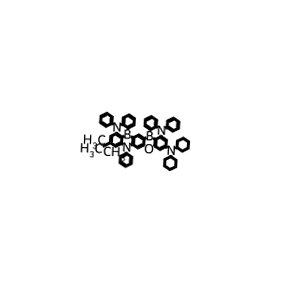 CC(C)(C)c1cc2c3c(c1)N(c1ccccc1)c1cc4c(cc1B3c1ccccc1N2c1ccccc1)B1c2ccccc2N(c2ccccc2)c2cc(N(C3CCCCC3)C3CCCCC3)cc(c21)O4